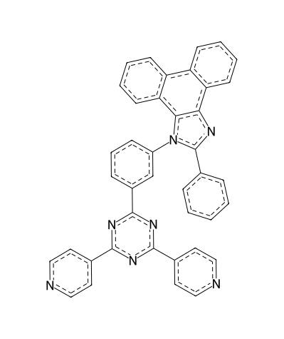 c1ccc(-c2nc3c4ccccc4c4ccccc4c3n2-c2cccc(-c3nc(-c4ccncc4)nc(-c4ccncc4)n3)c2)cc1